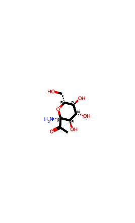 CC(=O)[C@@]1(N)O[C@H](CO)[C@@H](O)[C@H](O)[C@H]1O